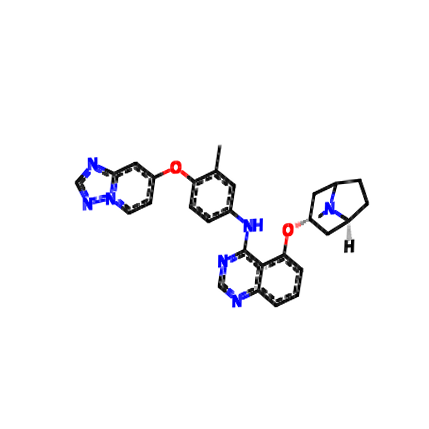 Cc1cc(Nc2ncnc3cccc(O[C@@H]4CC5CC[C@@H](C4)N5C)c23)ccc1Oc1ccn2ncnc2c1